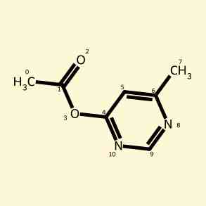 CC(=O)Oc1cc(C)ncn1